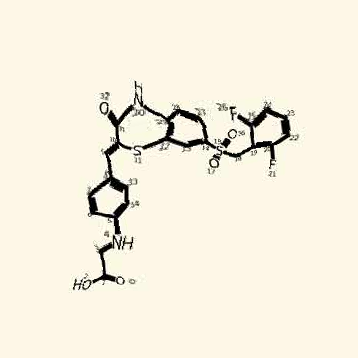 O=C(O)CNc1ccc(C=C2Sc3cc(S(=O)(=O)Cc4c(F)cccc4F)ccc3NC2=O)cc1